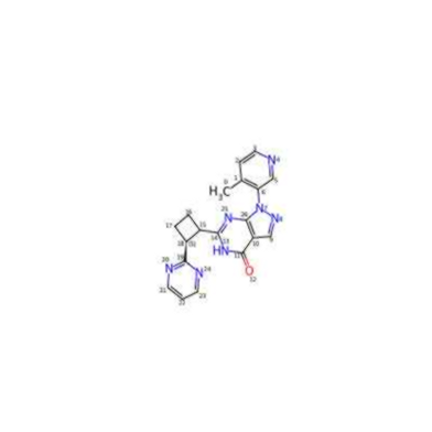 Cc1ccncc1-n1ncc2c(=O)[nH]c(C3CC[C@@H]3c3ncccn3)nc21